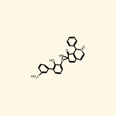 O=C(O)c1cccc(-c2cccc(N3NC34C=CC3=C(C4=O)C(c4ccccc4)[N+](=O)C=C3)c2O)c1